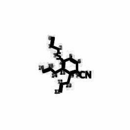 C=CCSc1ccc(C#N)c(CC=C)c1CC=C